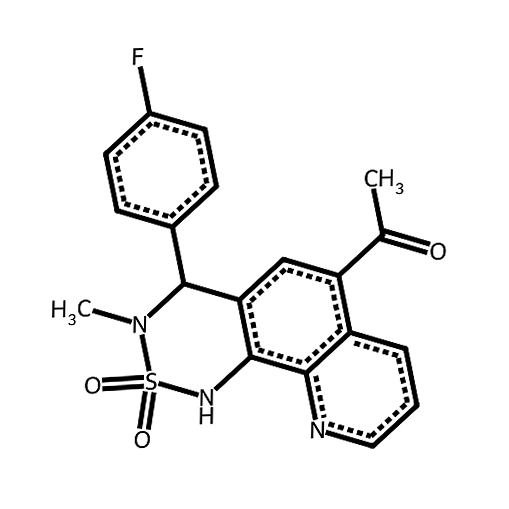 CC(=O)c1cc2c(c3ncccc13)NS(=O)(=O)N(C)C2c1ccc(F)cc1